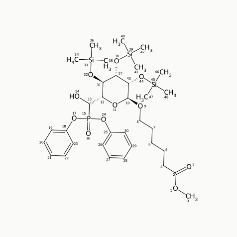 COC(=O)CCCCCO[C@H]1O[C@H](C(O)P(=O)(Oc2ccccc2)Oc2ccccc2)[C@@H](O[Si](C)(C)C)[C@H](O[Si](C)(C)C)[C@@H]1O[Si](C)(C)C